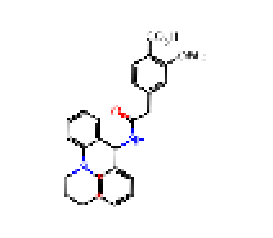 COc1cc(CC(=O)NC(c2ccccc2)c2ccccc2N2CCCCC2)ccc1C(=O)O